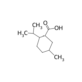 CC1CCC(C(C)C)[C](C(=O)O)C1